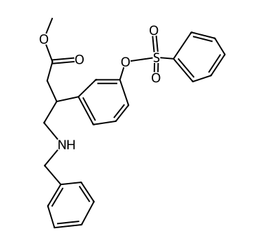 COC(=O)CC(CNCc1ccccc1)c1cccc(OS(=O)(=O)c2ccccc2)c1